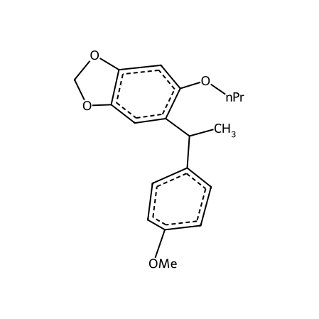 CCCOc1cc2c(cc1C(C)c1ccc(OC)cc1)OCO2